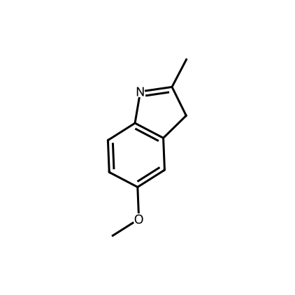 COc1ccc2c(c1)CC(C)=N2